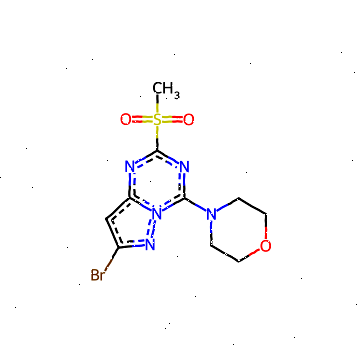 CS(=O)(=O)c1nc(N2CCOCC2)n2nc(Br)cc2n1